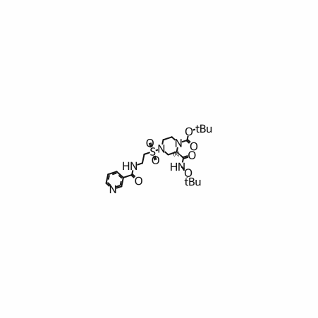 CC(C)(C)ONC(=O)[C@H]1CN(S(=O)(=O)CCNC(=O)c2cccnc2)CCN1C(=O)OC(C)(C)C